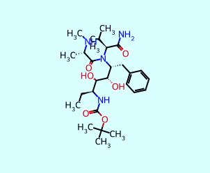 CC[C@H](NC(=O)OC(C)(C)C)[C@@H](O)[C@@H](O)[C@@H](Cc1ccccc1)N(C(=O)[C@H](C)NC)[C@H](C(N)=O)C(C)C